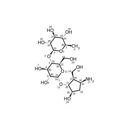 C[C@H]1O[C@@H](O[C@H]2[C@H](O)[C@@H](O)[C@@H](O[C@@H]3[C@@H](CO)[C@@H](N)C[C@H]3O)O[C@@H]2CO)[C@H](O)[C@@H](O)[C@@H]1O